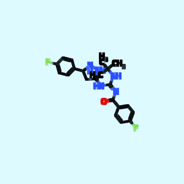 CC(C)(C)N/C(=N/C(=O)c1ccc(F)cc1)NC1CC(c2ccc(F)cc2)NN1